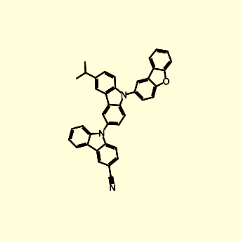 CC(C)c1ccc2c(c1)c1cc(-n3c4ccccc4c4cc(C#N)ccc43)ccc1n2-c1ccc2oc3ccccc3c2c1